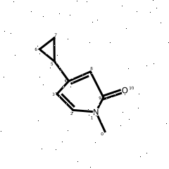 Cn1ccc(C2CC2)cc1=O